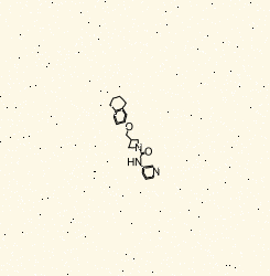 O=C(Nc1cccnc1)N1CC(COc2ccc3c(c2)CCCC3)C1